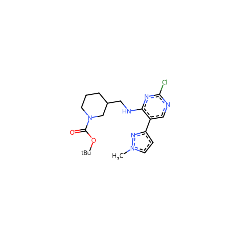 Cn1ccc(-c2cnc(Cl)nc2NCC2CCCN(C(=O)OC(C)(C)C)C2)n1